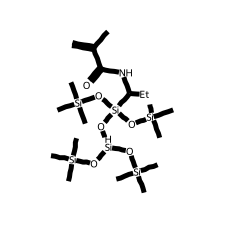 C=C(C)C(=O)NC(CC)[Si](O[SiH](O[Si](C)(C)C)O[Si](C)(C)C)(O[Si](C)(C)C)O[Si](C)(C)C